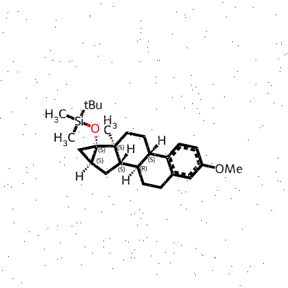 COc1ccc2c(c1)CC[C@@H]1[C@@H]2CC[C@@]2(C)[C@H]1C[C@H]1C[C@]12O[Si](C)(C)C(C)(C)C